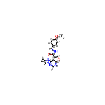 Cc1nc(NC2(C)CC2)c2c(C(=O)NCc3ccc(OC(F)(F)F)cc3)coc2n1